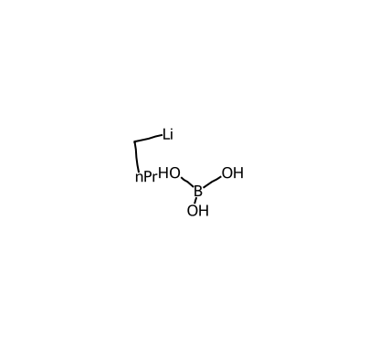 OB(O)O.[Li][CH2]CCC